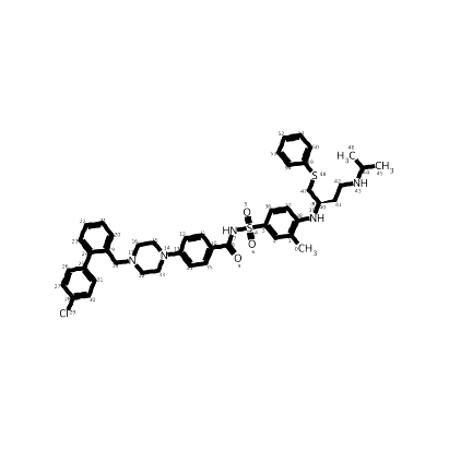 Cc1cc(S(=O)(=O)NC(=O)c2ccc(N3CCN(Cc4ccccc4-c4ccc(Cl)cc4)CC3)cc2)ccc1N[C@H](CCNC(C)C)CSc1ccccc1